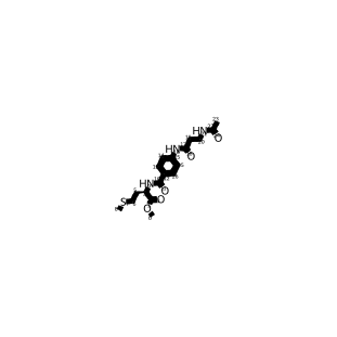 COC(=O)[C@@H](CCSC)NC(=O)c1ccc(NC(=O)CCNC(C)=O)cc1